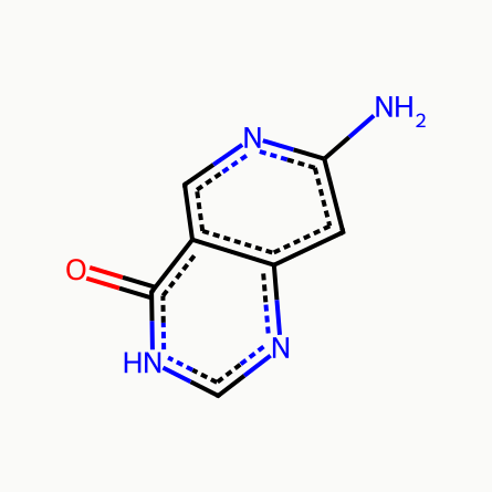 Nc1cc2nc[nH]c(=O)c2cn1